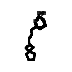 CCOC(=O)c1cccc(CCCN2CC3(CCCC3)C2)n1